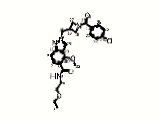 CCOCCNC(=O)c1ccc2nn(CC3CN(C(=O)c4ccc(Cl)cc4)C3)cc2c1OC